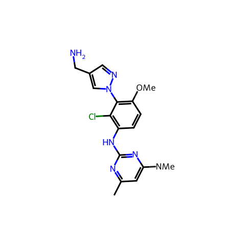 CNc1cc(C)nc(Nc2ccc(OC)c(-n3cc(CN)cn3)c2Cl)n1